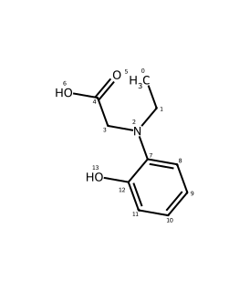 CCN(CC(=O)O)c1ccccc1O